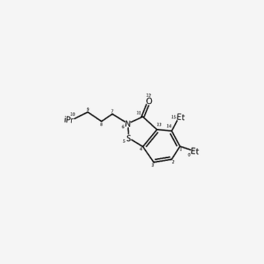 CCc1ccc2sn(CCCC(C)C)c(=O)c2c1CC